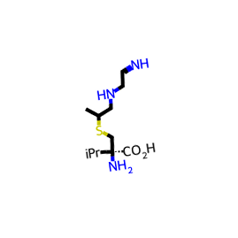 CC(CNCC=N)SC[C@](N)(C(=O)O)C(C)C